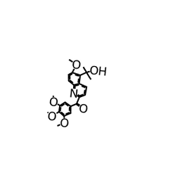 COc1cc(C(=O)c2ccc3c(C(C)(C)O)c(OC)ccc3n2)cc(OC)c1OC